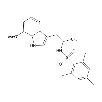 COC1=CC=CC2C(CC(NS(=O)(=O)c3c(C)cc(C)cc3C)C(F)(F)F)=CNC12